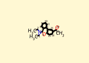 CCN(CC)C(=O)c1ccccc1-c1cccc(C(C)=O)c1